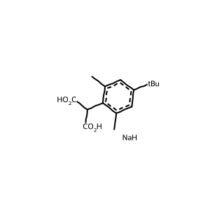 Cc1cc(C(C)(C)C)cc(C)c1C(C(=O)O)C(=O)O.[NaH]